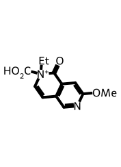 CC[N+]1(C(=O)O)C=Cc2cnc(OC)cc2C1=O